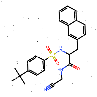 CC(C)(C)c1ccc(S(=O)(=O)NC(Cc2ccc3ccccc3c2)C(=O)NCC#N)cc1